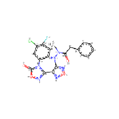 CN(Nc1nonc1-c1noc(=O)n1-c1ccc(F)c(Cl)c1)C(=O)Cc1ccccc1